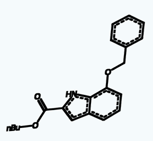 CCCCOC(=O)c1cc2cccc(OCc3ccccc3)c2[nH]1